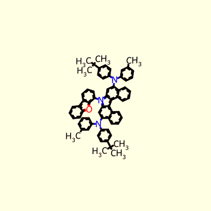 Cc1cccc(N(c2ccc(C(C)(C)C)cc2)c2cc3c(c4ccccc24)c2c4ccccc4c(N(c4ccc(C(C)(C)C)cc4)c4cccc(C)c4)cc2n3-c2cccc3c2oc2ccccc23)c1